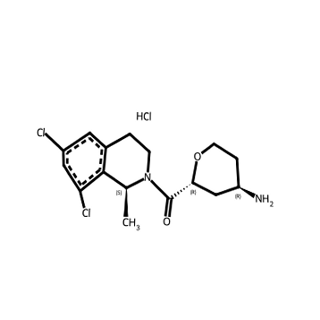 C[C@H]1c2c(Cl)cc(Cl)cc2CCN1C(=O)[C@H]1C[C@H](N)CCO1.Cl